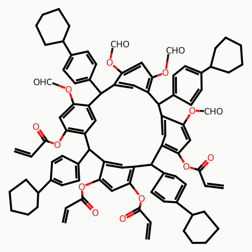 C=CC(=O)Oc1cc(OC=O)c2cc1C(c1ccc(C3CCCCC3)cc1)c1cc(c(OC(=O)C=C)cc1OC(=O)C=C)C(c1ccc(C3CCCCC3)cc1)c1cc(c(OC=O)cc1OC(=O)C=C)C(c1ccc(C3CCCCC3)cc1)c1cc(c(OC=O)cc1OC=O)C2c1ccc(C2CCCCC2)cc1